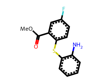 COC(=O)c1cc(F)ccc1Sc1ccccc1N